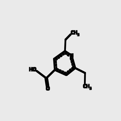 CCc1cc(C(=O)O)cc(CC)n1